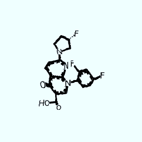 O=C(O)c1cn(-c2ccc(F)cc2F)c2nc(N3CC[C@H](F)C3)ccc2c1=O